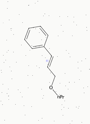 CCCOC/C=C/c1ccccc1